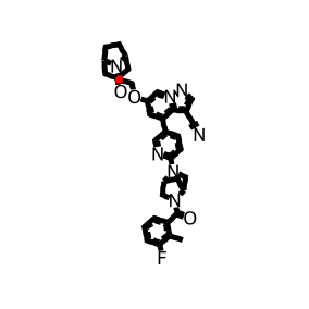 Cc1c(F)cccc1C(=O)N1CC2CC1CN2c1ccc(-c2cc(OCCN3C4CCC3CC(=O)C4)cn3ncc(C#N)c23)cn1